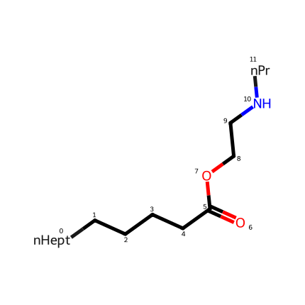 CCCCCCCCCCCC(=O)OCCNCCC